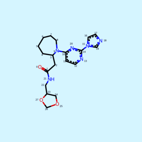 O=C(CC1CCCCCN1c1ccnc(-n2ccnc2)n1)NCC1COCO1